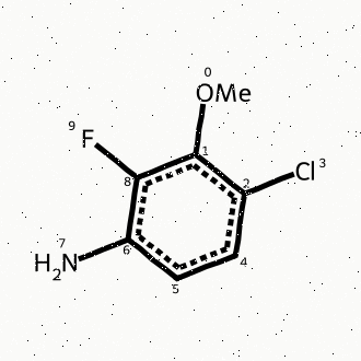 COc1c(Cl)ccc(N)c1F